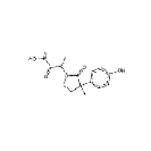 CC(C(=O)NO)N1CCC(C)(c2ccc(O)cc2)C1=O